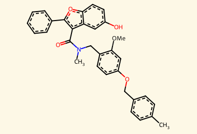 COc1cc(OCc2ccc(C)cc2)ccc1CN(C)C(=O)c1c(-c2ccccc2)oc2ccc(O)cc12